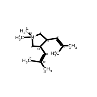 CC(C)=CC1C[N+](C)(C)CC1C=C(C)C